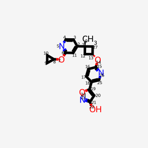 C[C@]1(c2ccnc(OC3CC3)c2)C[C@H](Oc2ccc(-c3cc(O)no3)cn2)C1